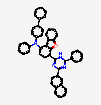 c1ccc(-c2ccc(N(c3ccccc3)c3ccc(C4=NC(c5ccc6ccccc6c5)=NC(c5ccccc5)N4)c4oc5ccccc5c34)cc2)cc1